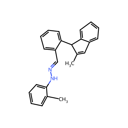 CC1=Cc2ccccc2C1c1ccccc1C=NNc1ccccc1C